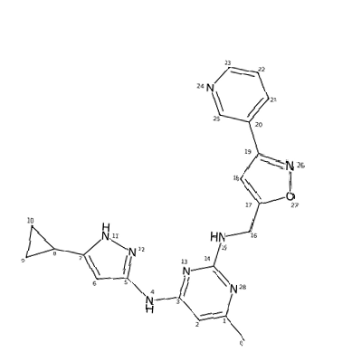 Cc1cc(Nc2cc(C3CC3)[nH]n2)nc(NCc2cc(-c3cccnc3)no2)n1